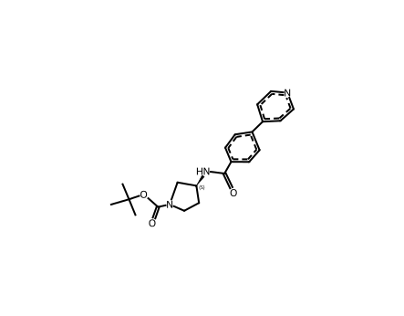 CC(C)(C)OC(=O)N1CC[C@H](NC(=O)c2ccc(-c3ccncc3)cc2)C1